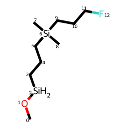 CO[SiH2]CCC[Si](C)(C)CCCF